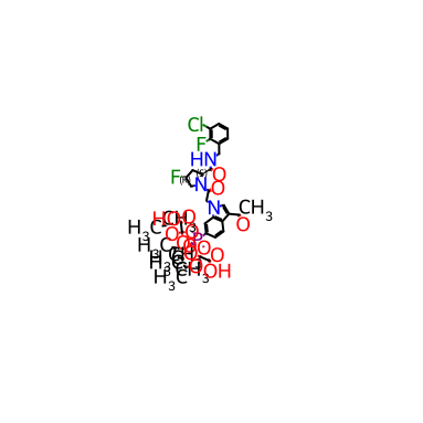 CC(=O)c1cn(CC(=O)N2C[C@H](F)C[C@H]2C(=O)NCc2cccc(Cl)c2F)c2cc(P(=O)(OC(OC(C)C)(OC(C)C)C(=O)O)OC(OC(C)C)(OC(C)C)C(=O)O)ccc12